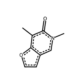 Cc1c(=O)n(C)cc2ccoc12